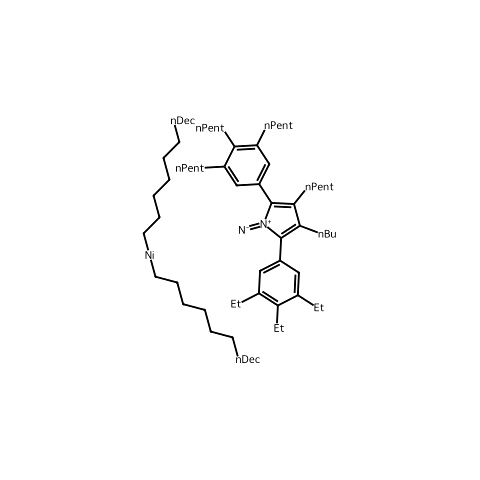 CCCCCC1=C(c2cc(CCCCC)c(CCCCC)c(CCCCC)c2)[N+](=[N-])C(c2cc(CC)c(CC)c(CC)c2)=C1CCCC.CCCCCCCCCCCCCCC[CH2][Ni][CH2]CCCCCCCCCCCCCCC